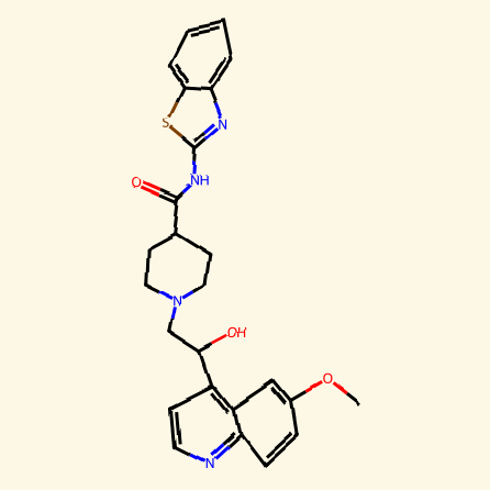 COc1ccc2nccc(C(O)CN3CCC(C(=O)Nc4nc5ccccc5s4)CC3)c2c1